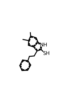 Cc1cc2[nH]c(S)c(CCc3ccccc3)c2cc1C